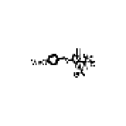 COc1ccc(CSC2CNC(C(OS(C)(=O)=O)S(C)(=O)=O)C2)cc1